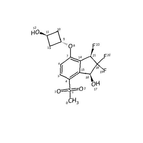 CS(=O)(=O)c1ccc(O[C@H]2C[C@H](O)C2)c2c1[C@H](O)C(F)(F)[C@@H]2F